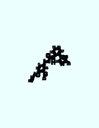 C#CCOc1ccc(/C=C/C(=O)Nc2ccccc2-n2cnc(C)n2)cc1OC